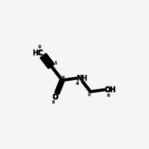 C#CC(=O)NCO